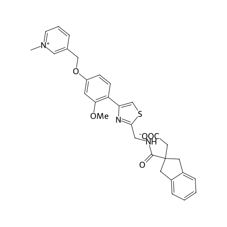 COc1cc(OCc2ccc[n+](C)c2)ccc1-c1csc(CNC(=O)C2(CC(=O)[O-])Cc3ccccc3C2)n1